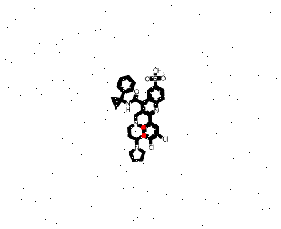 CS(=O)(=O)c1ccc2nc(-c3ccc(Cl)c(Cl)c3)c(CN3CCC(N4CCCC4)CC3)c(C(=O)NC3(c4ccccc4)CC3)c2c1